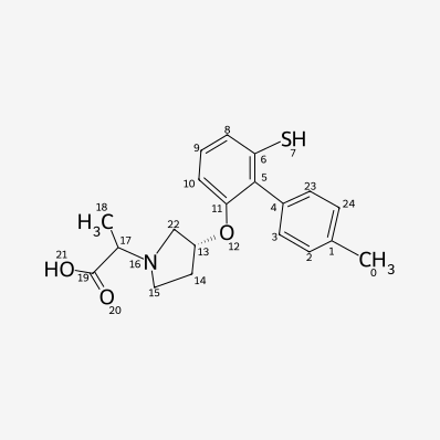 Cc1ccc(-c2c(S)cccc2O[C@@H]2CCN(C(C)C(=O)O)C2)cc1